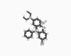 CCN(CC)c1ccc2nc3ccc(Br)cc3[n+](-c3ccccc3)c2c1.[Br-]